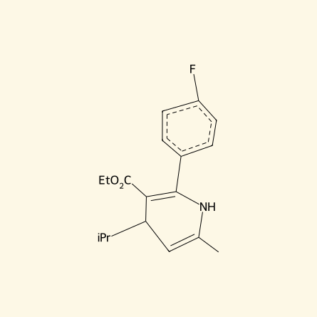 CCOC(=O)C1=C(c2ccc(F)cc2)NC(C)=CC1C(C)C